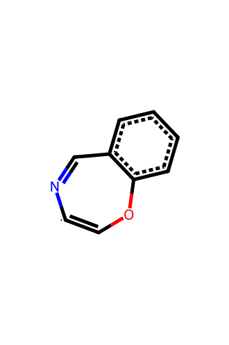 [C]1=COc2ccccc2C=N1